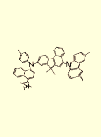 Cc1ccc(N(c2ccc3c(c2)C(C)(C)c2cc(-n4c5ccc(C)cc5c5cc(C)ccc54)c4ccccc4c2-3)c2ccc([Si](C)(C)C)c3ccccc23)cc1